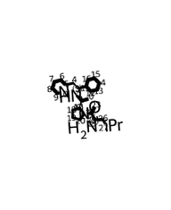 C=C(N[C@@H](Cc1ccccn1)c1ccccc1)[C@@H]1CCCN1C(=O)[C@@H](N)CC(C)C